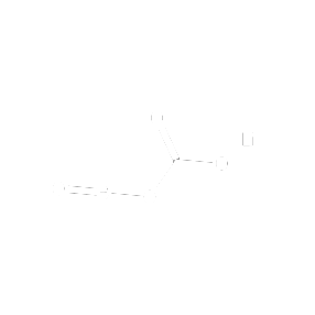 O=BOC(=O)[O-].[Li+]